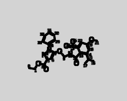 CCOC(=O)c1cc(OCN2C(=O)c3c(C(C)C)cc(OC)cc3S2(=O)=O)n(-c2ccccc2)n1